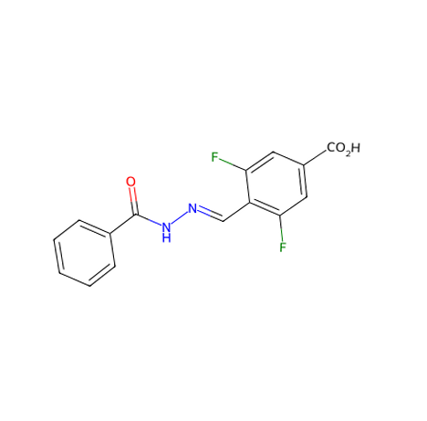 O=C(O)c1cc(F)c(C=NNC(=O)c2ccccc2)c(F)c1